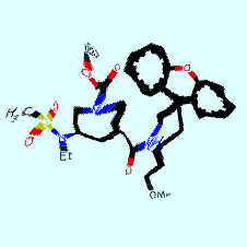 CCN([C@@H]1C[C@H](C(=O)NCC2(CCCCOC)c3ccccc3Oc3ccccc32)CN(C(=O)OC(C)(C)C)C1)S(C)(=O)=O